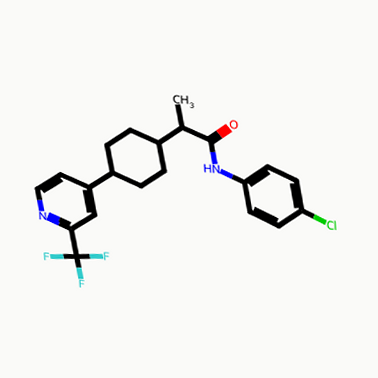 CC(C(=O)Nc1ccc(Cl)cc1)C1CCC(c2ccnc(C(F)(F)F)c2)CC1